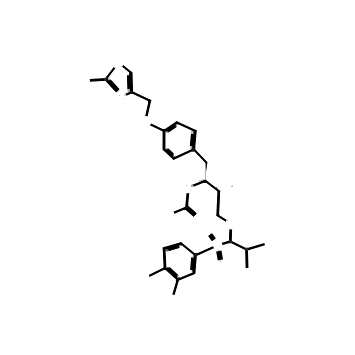 Cc1nc(COc2ccc(C[C@H](NC(=O)O)[C@H](O)CNC(C(C)C)S(=O)(=O)c3ccc(O)c(C)c3)cc2)cs1